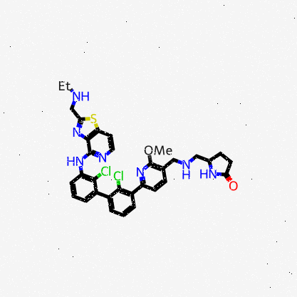 CCNCc1nc2c(Nc3cccc(-c4cccc(-c5ccc(CNCC6CCC(=O)N6)c(OC)n5)c4Cl)c3Cl)nccc2s1